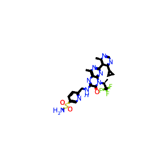 Cc1ncnc(C2CC2)c1-c1nc(C)c2nc(NCc3ccc(S(N)(=O)=O)cn3)c(=O)n([C@@H](C)C(F)(F)F)c2n1